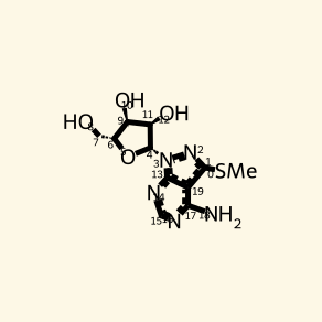 CSc1nn([C@@H]2O[C@H](CO)[C@@H](O)[C@H]2O)c2ncnc(N)c12